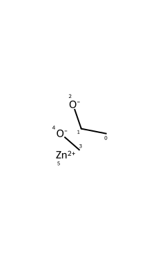 CC[O-].C[O-].[Zn+2]